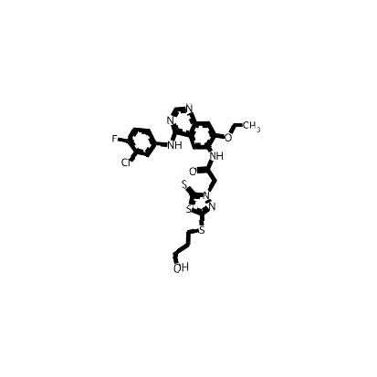 CCOc1cc2ncnc(Nc3ccc(F)c(Cl)c3)c2cc1NC(=O)Cn1nc(SCCCO)sc1=S